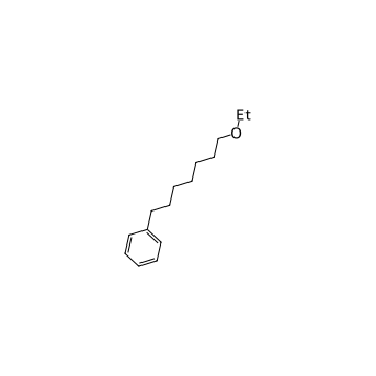 CCOCCCCCCCc1ccccc1